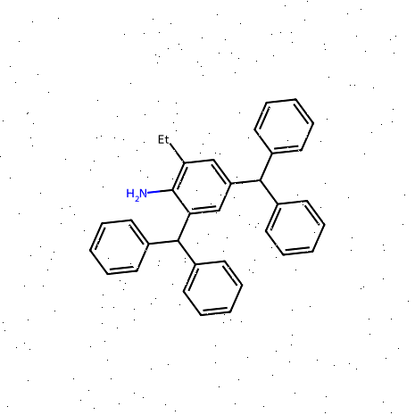 CCc1cc(C(c2ccccc2)c2ccccc2)cc(C(c2ccccc2)c2ccccc2)c1N